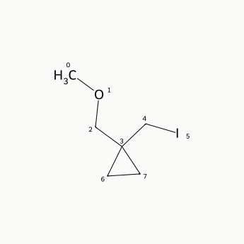 COCC1(CI)CC1